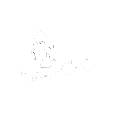 CC(C)(F)C[C@@](C(=O)O)([C@@H](Cc1ccc(N2CCOCC2)nc1)C(=O)OCc1ccccc1)N(C=C=O)OC(C)(C)C